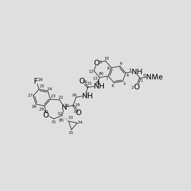 CNC(=O)Nc1ccc2c(c1)COC[C@@H]2NC(=O)NCC(=O)N1Cc2cc(F)ccc2OC[C@H]1C1CC1